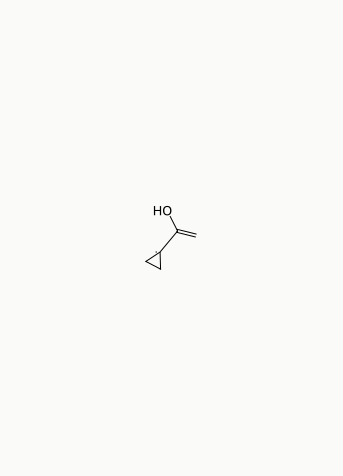 C=C(O)[C]1CC1